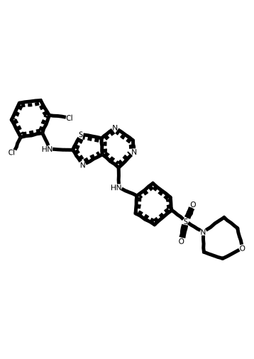 O=S(=O)(c1ccc(Nc2ncnc3sc(Nc4c(Cl)cccc4Cl)nc23)cc1)N1CCOCC1